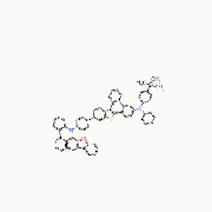 C[Si](C)(C)c1ccc(N(c2ccccc2)c2ccc3c(c2)c2ccccc2c2c4ccc(-c5ccc(N(c6ccccc6-c6ccccc6)c6cccc7c6oc6ccccc67)cc5)cc4sc32)cc1